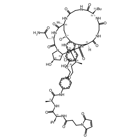 CC[C@H](C)[C@@H]1NC(=O)CNC(=O)[C@@H]2Cc3c([nH]c4cc(OCc5ccc(NC(=O)[C@H](C)NC(=O)[C@@H](NC(=O)CCN6C(=O)C=CC6=O)C(C)C)cc5)ccc34)[S+]([O-])C[C@H](NC(=O)CNC1=O)C(=O)N[C@@H](CC(N)=O)C(=O)N1C[C@H](O)C[C@]1(C=O)N[C@@H]([C@@H](C)[C@@H](O)CO)C(=O)N2